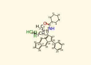 C[SiH](C)[Ti]([NH]C(=O)C1CCCCC1)[C]1=c2cc3c(cc2C(c2ccccc2)=C1)=CC=C3.Cl.Cl